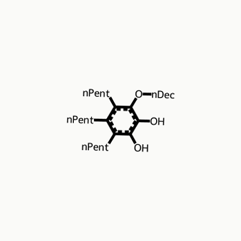 CCCCCCCCCCOc1c(O)c(O)c(CCCCC)c(CCCCC)c1CCCCC